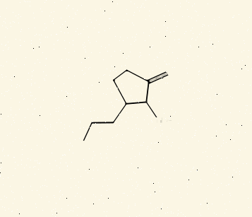 CCCCCC1C(=O)CCC1CCO